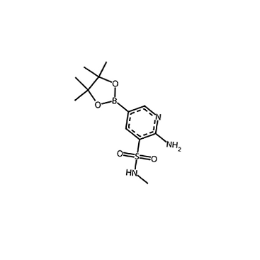 CNS(=O)(=O)c1cc(B2OC(C)(C)C(C)(C)O2)cnc1N